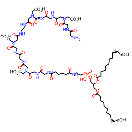 CCCCCCCC/C=C\CCCCCCCC(=O)OCC(COP(=O)(O)OCCNC(=O)CCCCC(=O)NCC(=O)NCC(=O)N(CC(=O)O)CC(=O)NCC(=O)NCC(=O)N(CC(=O)O)CC(=O)NCCNC(=O)CN(CC(=O)O)C(=O)CNC(=O)CNC(=O)CN(CC(=O)O)C(=O)CNC(=O)CN)OC(=O)CCCCCCC/C=C\CCCCCCCC